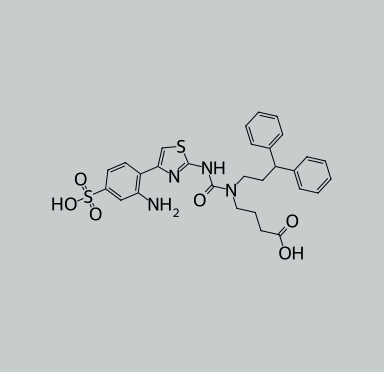 Nc1cc(S(=O)(=O)O)ccc1-c1csc(NC(=O)N(CCCC(=O)O)CCC(c2ccccc2)c2ccccc2)n1